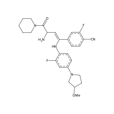 COC1CCN(c2ccc(N/C(=C\C(N)C(=O)N3CCCCC3)c3ccc(C#N)c(F)c3)c(F)c2)C1